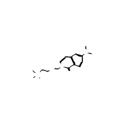 CN(C)c1ccc2c(=O)n(COCC[Si](C)(C)C)ccc2c1